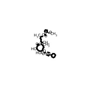 COC[C@H]1CCCN1C(=O)OC[C@@H](C)/C=C/C=C(\C)[C@H]1OC(=O)C[C@@H](O)CC[C@](C)(O)[C@H](OC(=O)N2CCN(C3CCCCCC3)CC2)/C=C/[C@@H]1C